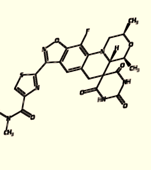 C[C@@H]1CN2c3c(cc4c(-c5nc(C(=O)N(C)C)cs5)noc4c3F)CC3(C(=O)NC(=O)NC3=O)[C@H]2[C@H](C)O1